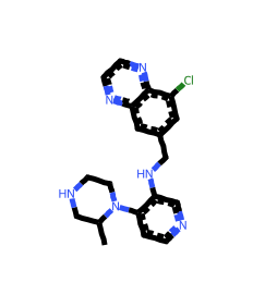 CC1CNCCN1c1ccncc1NCc1cc(Cl)c2nccnc2c1